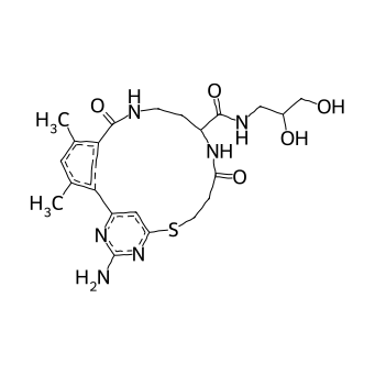 Cc1cc(C)c2cc1C(=O)NCCC(C(=O)NCC(O)CO)NC(=O)CCSc1cc-2nc(N)n1